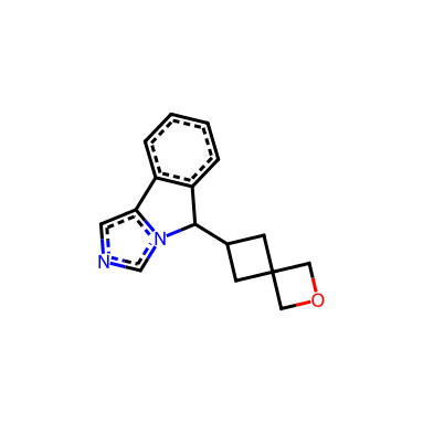 c1ccc2c(c1)-c1cncn1C2C1CC2(COC2)C1